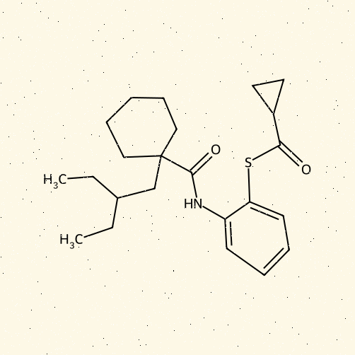 CCC(CC)CC1(C(=O)Nc2ccccc2SC(=O)C2CC2)CCCCC1